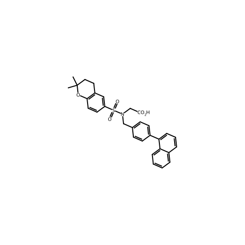 CC1(C)CCc2cc(S(=O)(=O)N(CC(=O)O)Cc3ccc(-c4cccc5ccccc45)cc3)ccc2O1